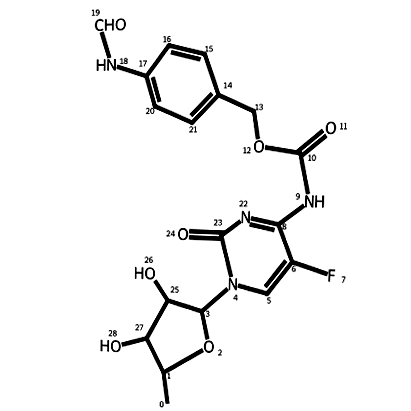 CC1OC(n2cc(F)c(NC(=O)OCc3ccc(NC=O)cc3)nc2=O)C(O)C1O